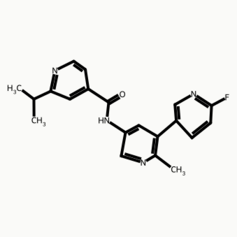 Cc1ncc(NC(=O)c2ccnc(C(C)C)c2)cc1-c1ccc(F)nc1